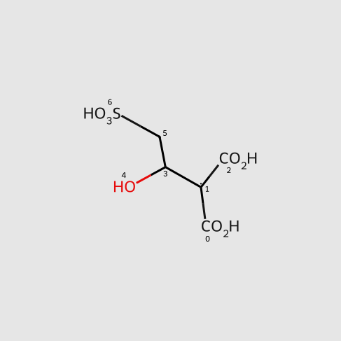 O=C(O)[C](C(=O)O)C(O)CS(=O)(=O)O